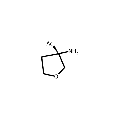 CC(=O)[C@]1(N)CCOC1